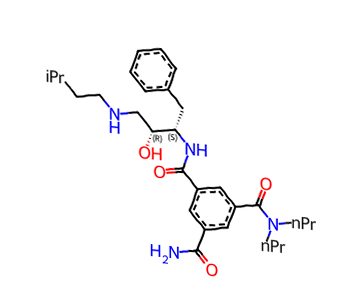 CCCN(CCC)C(=O)c1cc(C(N)=O)cc(C(=O)N[C@@H](Cc2ccccc2)[C@H](O)CNCCC(C)C)c1